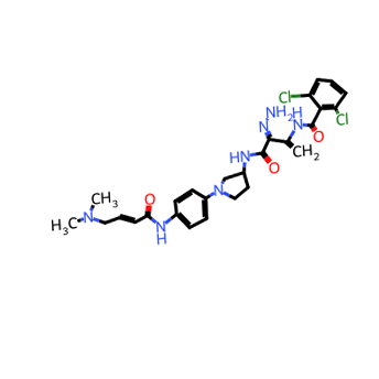 C=C(NC(=O)c1c(Cl)cccc1Cl)/C(=N\N)C(=O)NC1CCN(c2ccc(NC(=O)/C=C/CN(C)C)cc2)C1